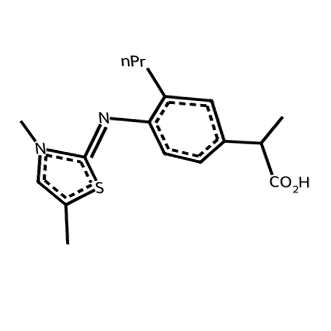 CCCc1cc(C(C)C(=O)O)ccc1N=c1sc(C)cn1C